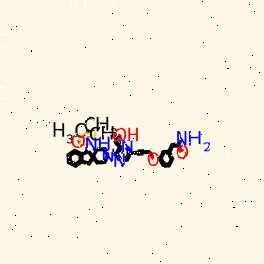 CC(C)(C)[S+]([O-])NC1c2ccccc2CC12CCN(c1ncc(C#CCOc3cccc(CC(N)=O)c3)nc1CO)CC2